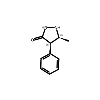 C[C@@H]1NNC(=O)[C@@H]1c1ccccc1